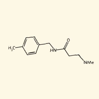 CNCCC(=O)NCc1ccc(C)cc1